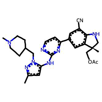 CC(=O)OC[C@@]1(C)CNc2c(C#N)cc(-c3ccnc(Nc4cc(C)nn4CC4CCN(C)CC4)n3)cc21